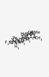 CC[C@@]1(C)C([C@]2(N)CCC3C[C@@H](C)CC[C@]3(COC)C2C)CC[C@@H]1C(=O)CN(N)c1cccc(OC(F)(F)F)c1N